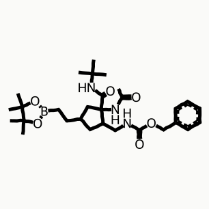 CC(=O)NC1(C(=O)NC(C)(C)C)CC(CCB2OC(C)(C)C(C)(C)O2)CC1CNC(=O)OCc1ccccc1